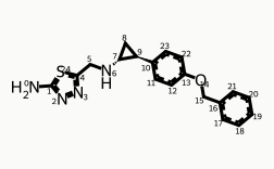 Nc1nnc(CN[C@@H]2C[C@H]2c2ccc(OCc3ccccc3)cc2)s1